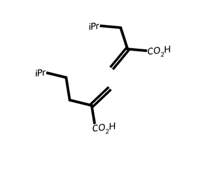 C=C(CC(C)C)C(=O)O.C=C(CCC(C)C)C(=O)O